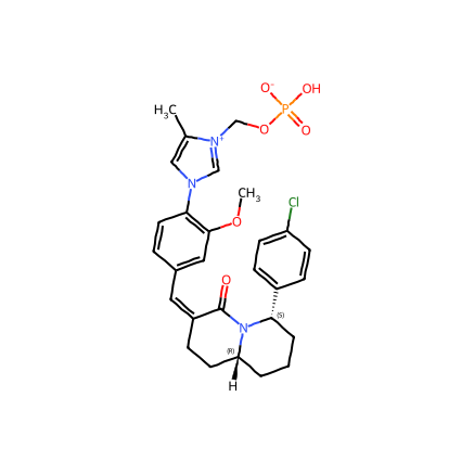 COc1cc(C=C2CC[C@H]3CCC[C@@H](c4ccc(Cl)cc4)N3C2=O)ccc1-n1cc(C)[n+](COP(=O)([O-])O)c1